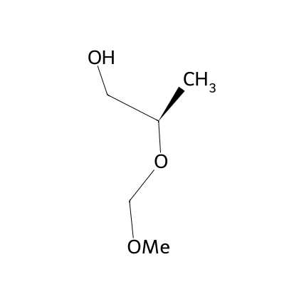 COCO[C@H](C)CO